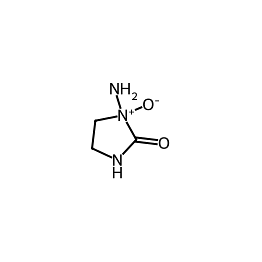 N[N+]1([O-])CCNC1=O